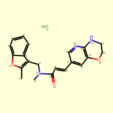 Cc1oc2ccccc2c1CN(C)C(=O)C=Cc1cnc2c(c1)OCCN2.Cl